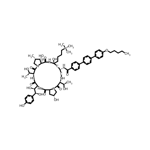 CCCCCOc1ccc(-c2ccc(-c3ccc(C(=O)N[C@@H]4CN[C@@H]([C@@H](C)O)C(=O)N5C[C@H](O)CC5C(=O)N[C@@H]([C@H](O)[C@@H](O)c5ccc(O)cc5)C(=O)N[C@@H]([C@@H](C)O)C(=O)N5C[C@H](C)[C@H](O)[C@H]5C(=O)N[C@](O)(CCCC[N+](C)(C)C)C4)cc3)cc2)cc1